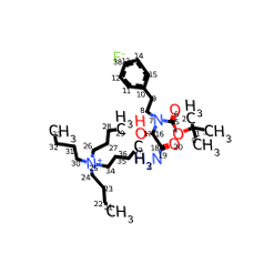 CC(C)(C)OC(=O)N(CCc1ccccc1)[C@@H](O)C(N)=O.CCCC[N+](CCCC)(CCCC)CCCC.[F-]